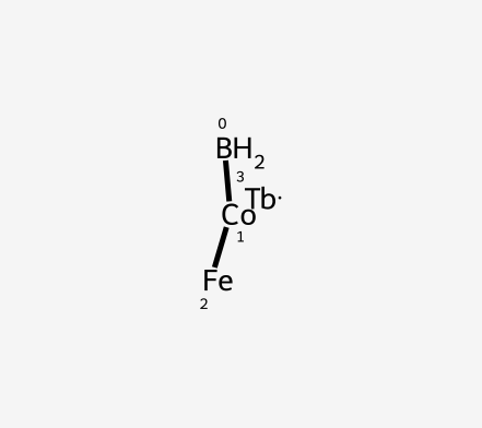 [BH2][Co][Fe].[Tb]